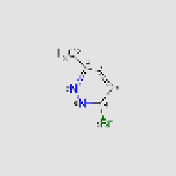 FC(F)(F)c1ccc(Br)nn1